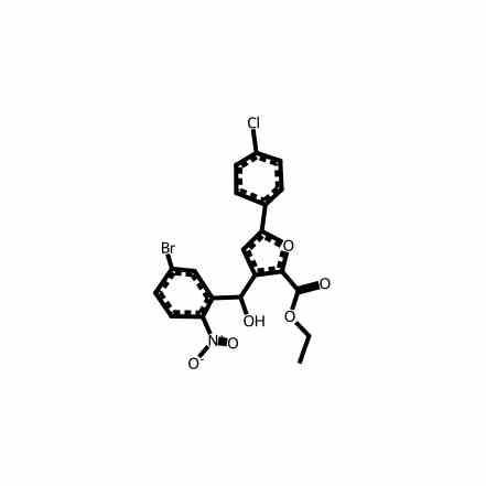 CCOC(=O)c1oc(-c2ccc(Cl)cc2)cc1C(O)c1cc(Br)ccc1[N+](=O)[O-]